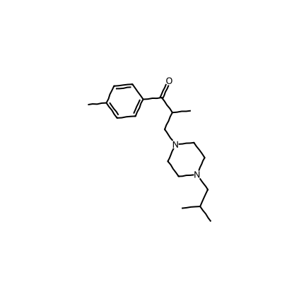 Cc1ccc(C(=O)C(C)CN2CCN(CC(C)C)CC2)cc1